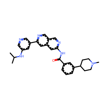 CC(C)Nc1cncc(-c2cc3cc(NC(=O)c4cccc(C5CCN(C)CC5)c4)ncc3cn2)c1